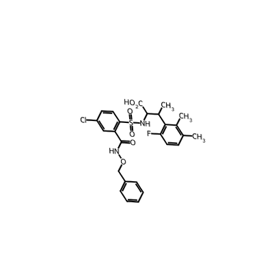 Cc1ccc(F)c(C(C)C(NS(=O)(=O)c2ccc(Cl)cc2C(=O)NOCc2ccccc2)C(=O)O)c1C